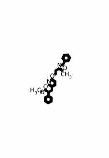 COC(=O)C(Cc1ccc(OCCc2nc(-c3ccccc3)oc2C)nc1)c1ccccc1